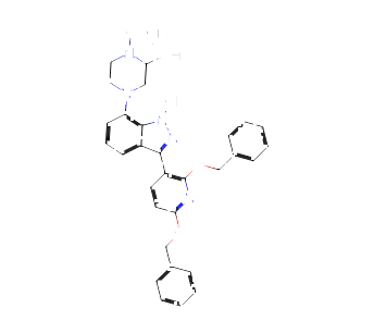 CC1CN(c2cccc3c(-c4ccc(OCc5ccccc5)nc4OCc4ccccc4)nn(C)c23)CCN1C(=O)O